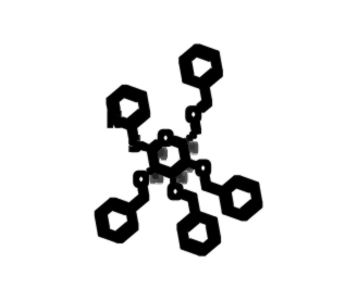 c1ccc(COC[C@H]2O[C@H](Sc3ccccn3)[C@@H](OCc3ccccc3)[C@@H](OCc3ccccc3)[C@@H]2OCc2ccccc2)cc1